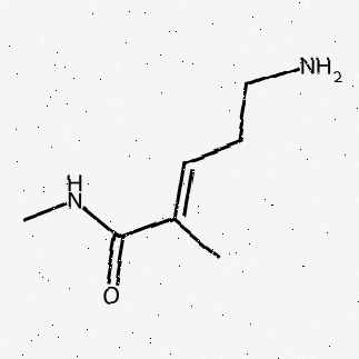 CNC(=O)C(C)=CCCN